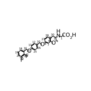 O=C(O)CNC1COc2cc(OCc3ccc(OCc4cccc(F)c4F)cc3)ccc2C1